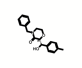 Cc1ccc(C(O)[C@H]2OCCN(Cc3ccccc3)C2=O)cc1